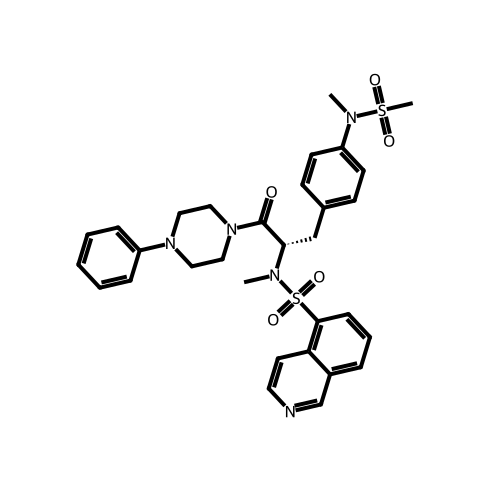 CN(c1ccc(C[C@@H](C(=O)N2CCN(c3ccccc3)CC2)N(C)S(=O)(=O)c2cccc3cnccc23)cc1)S(C)(=O)=O